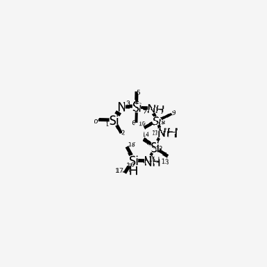 C[Si](C)=N[Si](C)(C)N[Si](C)(C)N[Si](C)(C)N[SiH](C)C